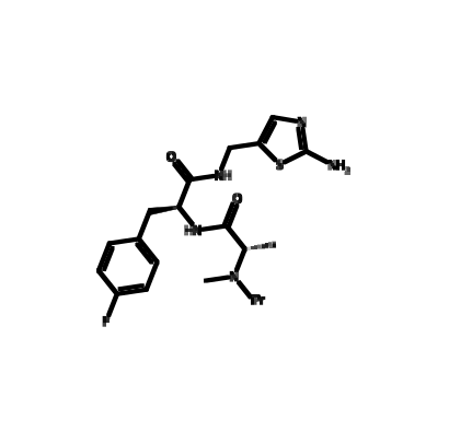 CC(C)N(C)[C@@H](C)C(=O)N[C@@H](Cc1ccc(F)cc1)C(=O)NCc1cnc(N)s1